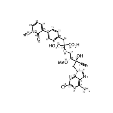 C#C[C@](O)(Cn1cnc2c(N)nc(Cl)nc21)[C@@H](COC(Cc1ccc(-c2cccn(CCC)c2=O)cc1)(C(=O)O)C(=O)O)OC